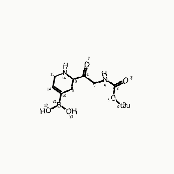 CC(C)(C)OC(=O)NCC(=O)C1CC(B(O)O)=CCN1